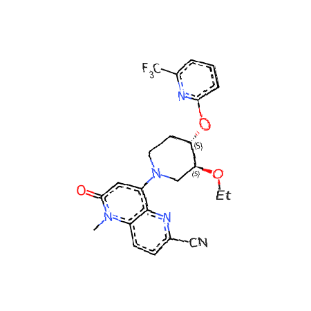 CCO[C@H]1CN(c2cc(=O)n(C)c3ccc(C#N)nc23)CC[C@@H]1Oc1cccc(C(F)(F)F)n1